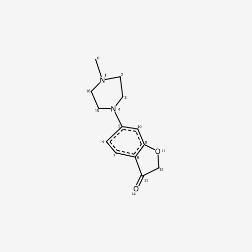 CN1CCN(c2ccc3c(c2)OCC3=O)CC1